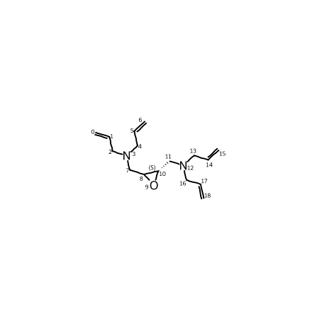 C=CCN(CC=C)CC1O[C@H]1CN(CC=C)CC=C